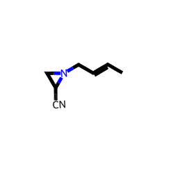 CC=CCN1CC1C#N